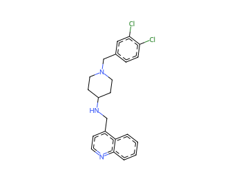 Clc1ccc(CN2CCC(NCc3ccnc4ccccc34)CC2)cc1Cl